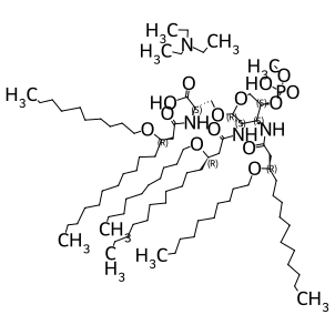 CCCCCCCCCCC[C@H](CC(=O)N[C@@H]1[C@H](OC[C@H](NC(=O)C[C@@H](CCCCCCCCCCC)OCCCCCCCCCC)C(=O)O)OC[C@@H](OP(=O)(O)OC)[C@H]1NC(=O)C[C@@H](CCCCCCCCCCC)OCCCCCCCCCC)OCCCCCCCCCC.CCN(CC)CC